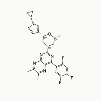 Cc1nc2nc([C@H]3C[C@@H](C)O[C@@H](c4cnn(C5CC5)c4)C3)nc(-c3cc(F)c(F)cc3F)c2nc1C